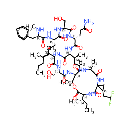 CCCCCCC[C@H](NC(=O)[C@@H](Cc1ccccc1)NC)C(=O)N[C@@H](CO)C(=O)N[C@H](CCC(N)=O)C(=O)N[C@@H](C(=O)N[C@H](C(=O)N[C@@H](CO)C(=O)N[C@H]1C(=O)N[C@@H](C)C(=O)NC2(C[C@H]2CC(F)F)C(=O)N[C@@H]([C@@H](C)CC)C(=O)O[C@H]1C)[C@@H](C)CC)[C@@H](C)CC